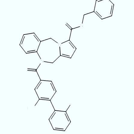 Cc1ccccc1-c1ccc(C(=O)N2Cc3ccc(C(=O)NCc4ccccc4)n3Cc3ccccc32)cc1C